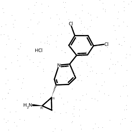 Cl.N[C@@H]1C[C@H]1c1ccc(-c2cc(Cl)cc(Cl)c2)nc1